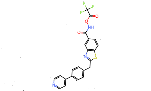 O=C(NOC(=O)C(F)(F)F)c1ccc2sc(Cc3ccc(-c4ccncc4)cc3)nc2c1